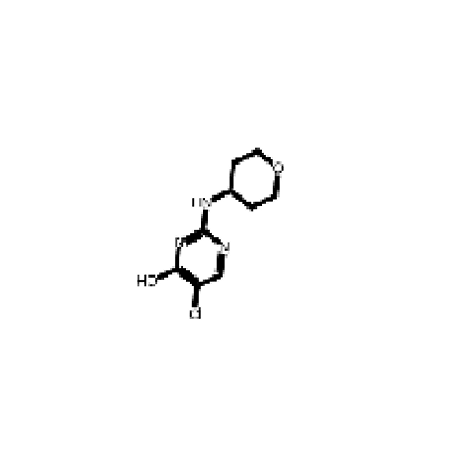 Oc1nc(NC2CCOCC2)ncc1Cl